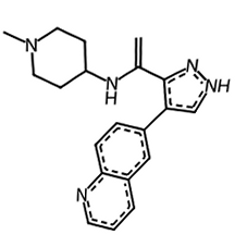 C=C(NC1CCN(C)CC1)c1n[nH]cc1-c1ccc2ncccc2c1